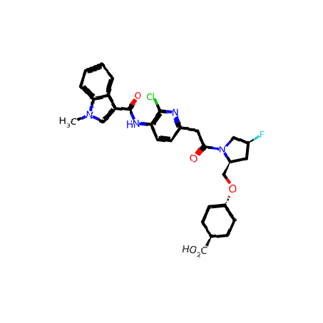 Cn1cc(C(=O)Nc2ccc(CC(=O)N3C[C@@H](F)C[C@H]3CO[C@H]3CC[C@H](C(=O)O)CC3)nc2Cl)c2ccccc21